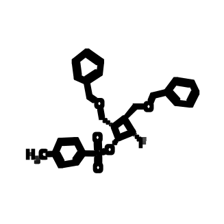 Cc1ccc(S(=O)(=O)O[C@H]2[C@@H](F)[C@H](COCc3ccccc3)[C@H]2COCc2ccccc2)cc1